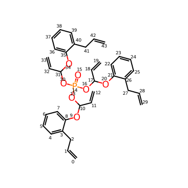 C=CCc1ccccc1OC(C=C)OP(=O)(OC(C=C)Oc1ccccc1CC=C)OC(C=C)Oc1ccccc1CC=C